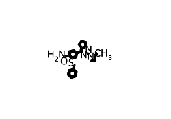 CC1CCN1c1nc2c(c(-c3ccc(C(N)=O)c(SCc4ccccc4)c3)n1)CCC2